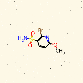 COc1ccc(S(N)(=O)=O)c(Br)n1